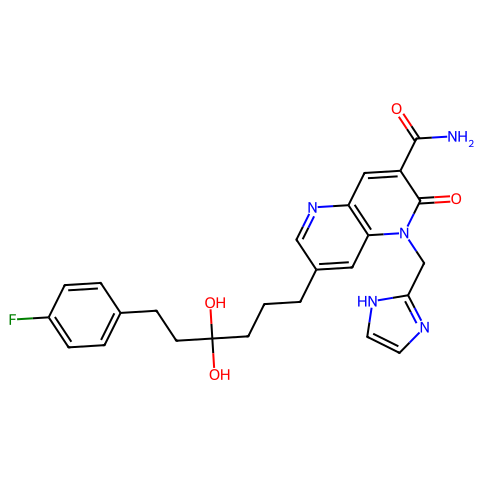 NC(=O)c1cc2ncc(CCCC(O)(O)CCc3ccc(F)cc3)cc2n(Cc2ncc[nH]2)c1=O